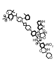 Cc1ccccc1[C@@H]1CN(C(C)c2cnc(S(C)(=O)=O)c3c2C(C)(C)CCO3)CCN1C1CC2(CCN(c3ccc(C(=O)NS(=O)(=O)c4cc5c(c([N+](=O)[O-])c4)N[C@H](C4CCOCC4)CO5)c(N4c5cc6cc[nH]c6nc5O[C@H]5COCC[C@@H]54)c3)CC2)C1